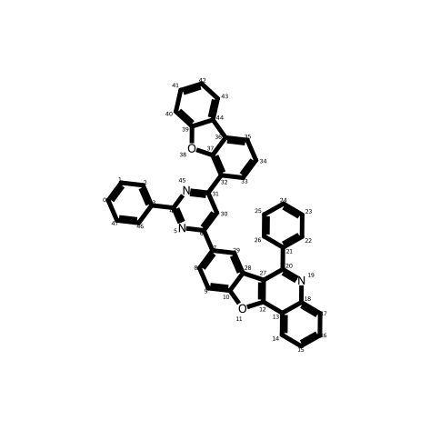 c1ccc(-c2nc(-c3ccc4oc5c6ccccc6nc(-c6ccccc6)c5c4c3)cc(-c3cccc4c3oc3ccccc34)n2)cc1